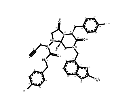 C#CCN(C(=O)NCc1ccc(F)cc1)N1CC(=O)N2[C@@H](Cc3ccc(F)cc3)C(=O)N(Cc3cccc4sc(N)nc34)C[C@@H]21